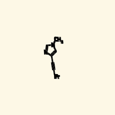 CC(C)C#Cc1cn(C)cn1